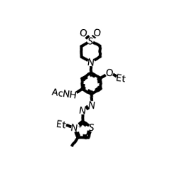 CCOc1cc(N=Nc2scc(C)[n+]2CC)c(NC(C)=O)cc1N1CCS(=O)(=O)CC1